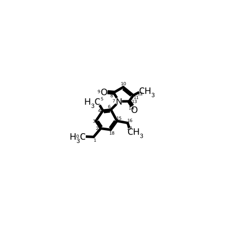 CCc1cc(C)c(N2C(=O)C=C(C)C2=O)c(CC)c1